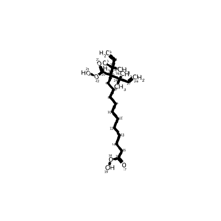 C=CC(C)(C)C(CCCCCCCCCCC(=O)OO)(C(=O)OO)C(C)(C)C=C